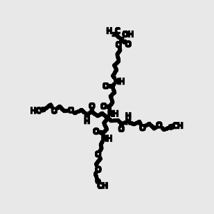 C#CCOCCOCCNC(=O)CCC(CCC(=O)NCCOCCOCC#C)(CCC(=O)NCCOCCOCC#C)NC(=O)CCCC(=O)NCCCCCCOP(=O)(O)CC